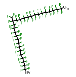 CCCC(F)(F)C(F)(F)C(F)(F)C(F)(F)C(F)(F)C(F)(F)C(F)(F)C(F)(F)C(F)(F)C(F)(F)C(F)(F)C(F)(F)C(F)(F)C(F)([C](F)F)C(F)(F)C(F)(F)C(F)(F)C(F)(F)C(F)(F)C(F)(F)C(F)(F)C(F)(F)C(F)(F)C(F)(F)C(F)(F)C(F)(F)C(F)(F)C(F)(F)F